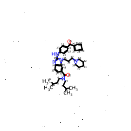 CC(C)CCN(CCC(C)C)C(=O)c1ccc2nc(Nc3ccc(C(=O)c4ccccc4)cc3)n(CCCN3CCCCC3)c2c1